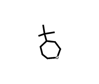 CC(C)(C)C1CCCOCC1